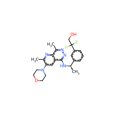 Cc1nc2c(C)nnc(N[C@H](C)c3cccc(C(F)(F)CO)c3)c2cc1N1CCOCC1